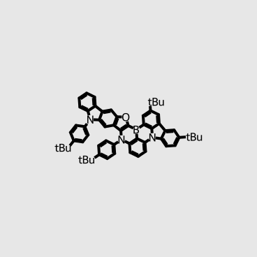 CC(C)(C)c1ccc(N2c3cccc4c3B(c3oc5cc6c7ccccc7n(-c7ccc(C(C)(C)C)cc7)c6cc5c32)c2cc(C(C)(C)C)cc3c5cc(C(C)(C)C)ccc5n-4c23)cc1